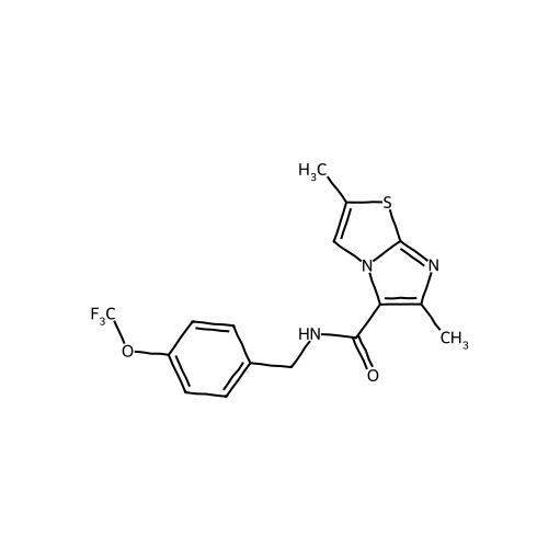 Cc1cn2c(C(=O)NCc3ccc(OC(F)(F)F)cc3)c(C)nc2s1